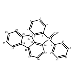 O=P(c1ccccc1)(c1ccccc1)c1cccc2c1oc1ccccc12